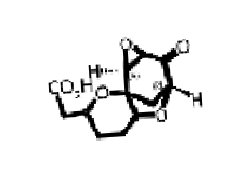 O=C(O)CC1CCC2O[C@@H]3CC2(O1)[C@H]1OC1C3=O